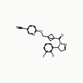 N#Cc1ccc(OCC23CC(C(=O)N4N=CCC4c4cccc(F)c4F)(C2)C3)nc1